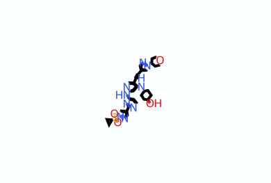 O=S(=O)(C1CC1)n1cc(-c2nccc(Nc3cc(NC4CCC(O)CC4)c(C#Cc4cnn(C5CCOCC5)c4)cn3)n2)cn1